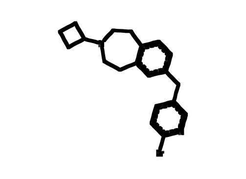 Brc1ccc(Cc2ccc3c(c2)CCN(C2CCC2)CC3)cn1